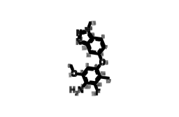 COc1cc(Oc2ccc3c(c2)nnn3C)c(C)c(F)c1N